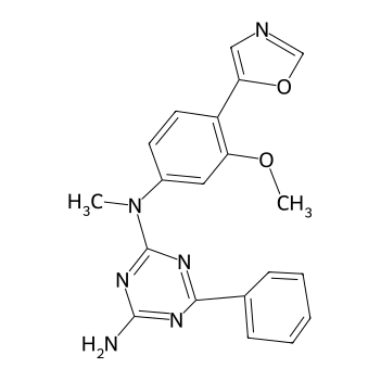 COc1cc(N(C)c2nc(N)nc(-c3ccccc3)n2)ccc1-c1cnco1